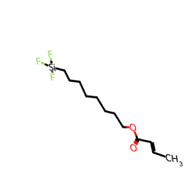 CC=CC(=O)OCCCCCCCC[Si](F)(F)F